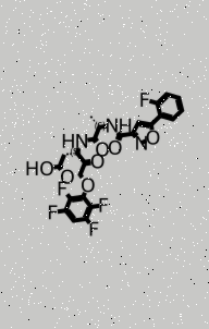 C[C@H](NC(=O)c1cc(-c2ccccc2F)on1)C(=O)N[C@@H](CC(=O)O)C(=O)COc1c(F)c(F)cc(F)c1F